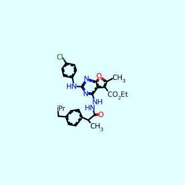 CCOC(=O)c1c(C)oc2nc(Nc3ccc(Cl)cc3)nc(NNC(=O)C(C)c3ccc(CC(C)C)cc3)c12